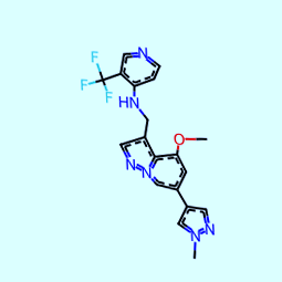 COc1cc(-c2cnn(C)c2)cn2ncc(CNc3ccncc3C(F)(F)F)c12